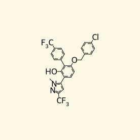 Cn1nc(C(F)(F)F)cc1-c1ccc(OCc2ccc(Cl)cc2)c(-c2ccc(C(F)(F)F)cc2)c1O